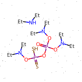 CCN(CC)OP(=O)(ON(CC)CC)OP(=S)(S)ON(CC)CC.CCNCC